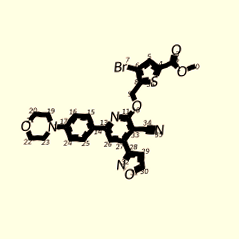 COC(=O)c1cc(Br)c(COc2nc(-c3ccc(N4CCOCC4)cc3)cc(-c3ccon3)c2C#N)s1